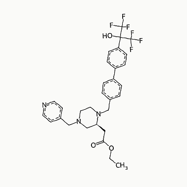 CCOC(=O)C[C@H]1CN(Cc2ccncc2)CCN1Cc1ccc(-c2ccc(C(O)(C(F)(F)F)C(F)(F)F)cc2)cc1